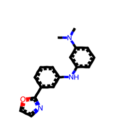 CN(C)c1cccc(Nc2cccc(-c3ncco3)c2)c1